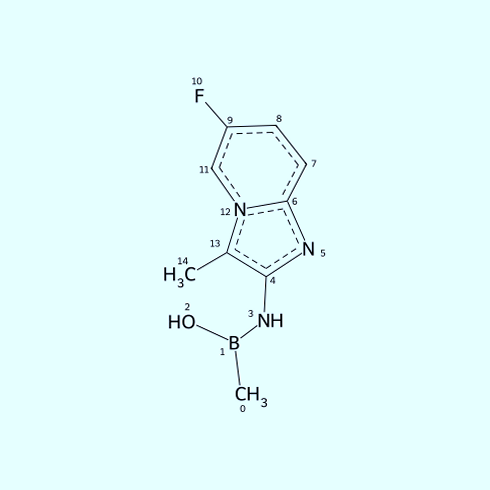 CB(O)Nc1nc2ccc(F)cn2c1C